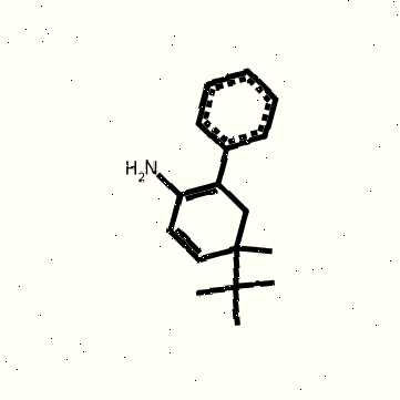 CC(C)(C)C1(C)C=CC(N)=C(c2ccccc2)C1